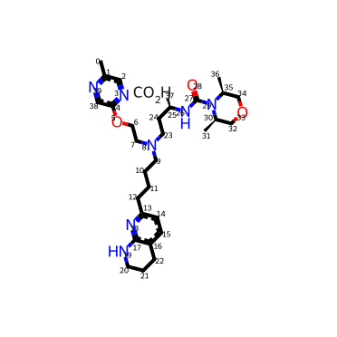 Cc1cnc(OCCN(CCCCc2ccc3c(n2)NCCC3)CC[C@H](NC(=O)N2[C@H](C)COC[C@@H]2C)C(=O)O)cn1